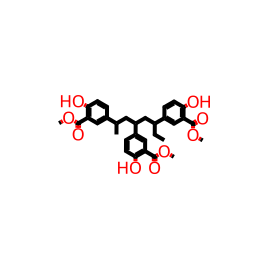 CCC(CC(CC(C)c1ccc(O)c(C(=O)OC)c1)c1ccc(O)c(C(=O)OC)c1)c1ccc(O)c(C(=O)OC)c1